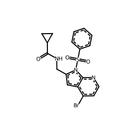 O=C(NCc1cc2c(Br)ccnc2n1S(=O)(=O)c1ccccc1)C1CC1